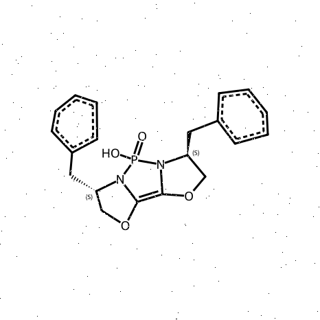 O=P1(O)N2C(=C3OC[C@H](Cc4ccccc4)N31)OC[C@@H]2Cc1ccccc1